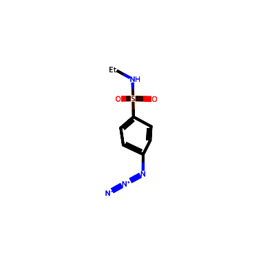 CCNS(=O)(=O)c1ccc(N=[N+]=[N-])cc1